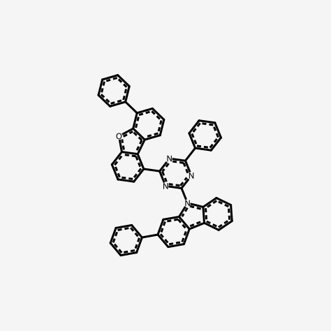 c1ccc(-c2ccc3c4ccccc4n(-c4nc(-c5ccccc5)nc(-c5cccc6oc7c(-c8ccccc8)cccc7c56)n4)c3c2)cc1